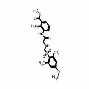 COC(=O)c1cccc(NC(=O)CNCS(=O)(=O)c2c(C)cc(OC)cc2C)c1N